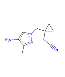 Cc1nn(CC2(CC#N)CC2)cc1N